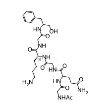 CC(=O)NCC(=O)NC(CCC(N)=O)C(=O)NCC(=O)N[C@@H](CCCCN)C(=O)NCC(=O)NC(CO)Cc1ccccc1